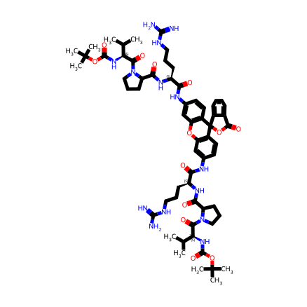 CC(C)[C@H](NC(=O)OC(C)(C)C)C(=O)N1CCCC1C(=O)N[C@@H](CCCNC(=N)N)C(=O)Nc1ccc2c(c1)Oc1cc(NC(=O)[C@H](CCCNC(=N)N)NC(=O)C3CCCN3C(=O)[C@@H](NC(=O)OC(C)(C)C)C(C)C)ccc1C21OC(=O)c2ccccc21